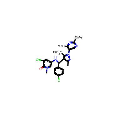 CCOC(=O)c1c(C(Nc2cc(Cl)c(=O)n(C)c2)c2ccc(Cl)cc2)c(C)nn1-c1cnc(OC)nc1OC